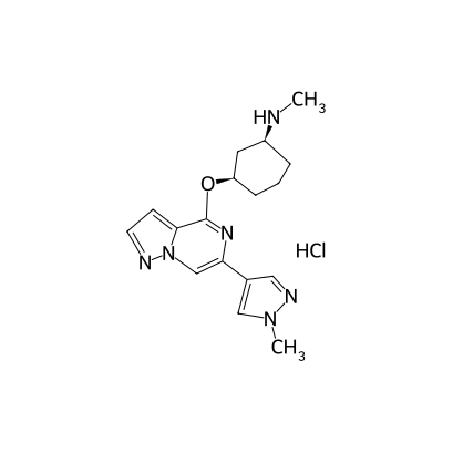 CN[C@H]1CCC[C@@H](Oc2nc(-c3cnn(C)c3)cn3nccc23)C1.Cl